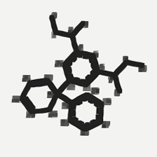 CCC(C)c1cc(C(C)CC)cc(C2(c3ccccc3)C=CC=CC2)c1